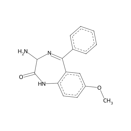 COc1ccc2c(c1)C(c1ccccc1)=NC(N)C(=O)N2